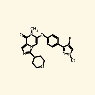 CCn1cc(F)c(-c2ccc(Oc3cn4c(C5CCOCC5)ncc4c(=O)n3C)cc2)n1